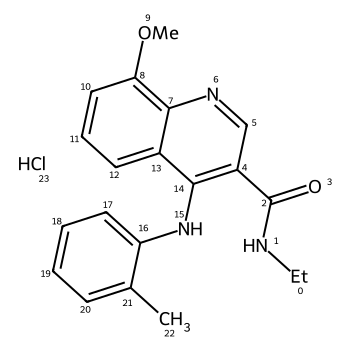 CCNC(=O)c1cnc2c(OC)cccc2c1Nc1ccccc1C.Cl